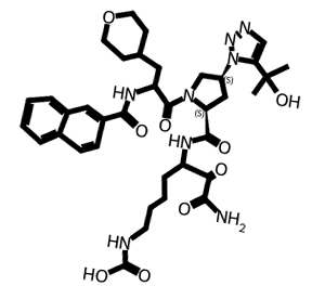 CC(C)(O)c1cnnn1[C@H]1C[C@@H](C(=O)NC(CCCCNC(=O)O)C(=O)C(N)=O)N(C(=O)C(CC2CCOCC2)NC(=O)c2ccc3ccccc3c2)C1